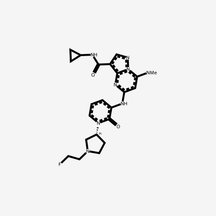 CNc1cc(Nc2cccn([C@@H]3CCN(CCF)C3)c2=O)nc2c(C(=O)NC3CC3)cnn12